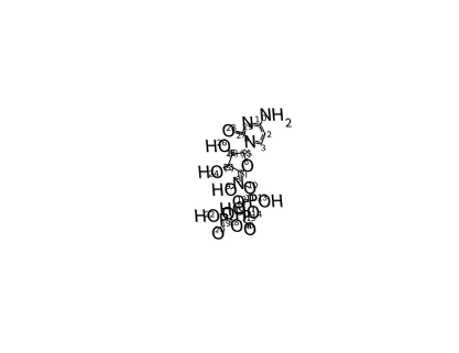 Nc1ccn([C@@H]2O[C@H](N(O)OP(=O)(O)OP(=O)(O)OP(=O)(O)O)[C@@H](O)[C@H]2O)c(=O)n1